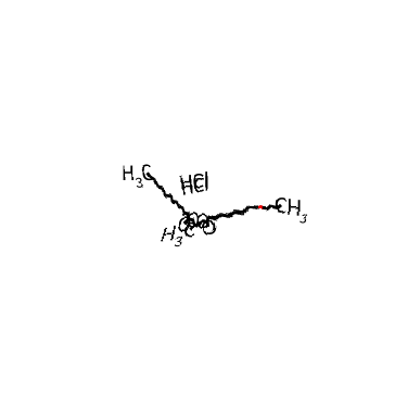 CCCCCCCCCCCCCC(=O)OCC(C)OC(=O)CCCCCCCCCCCCC.Cl.Cl